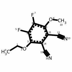 CCOc1c(F)c(F)c(OC)c(C#N)c1C#N